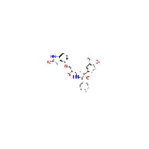 COc1ccc(S(=O)(=O)C(NC[C@H](O)COc2cccc3[nH]c(=O)[nH]c23)C2CCNCC2)cc1OC